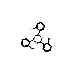 Nc1ccccc1B1OB(c2ccccc2N)OB(c2ccccc2N)O1